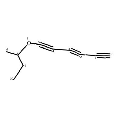 C#CC#CC#COC(C)CC